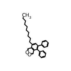 CCCCCCCCCCc1cc(-c2ccccc2)c(-c2ccccc2)c(C=O)c1C=O